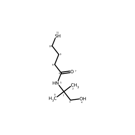 CC(C)(CO)NC(=O)CCCS